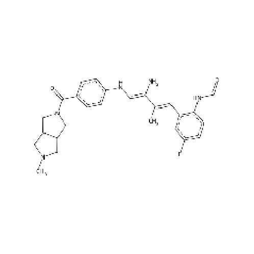 CC(=C\c1cc(F)ccc1NC=O)/C(N)=C/Nc1ccc(C(=O)N2CC3CN(C)CC3C2)cc1